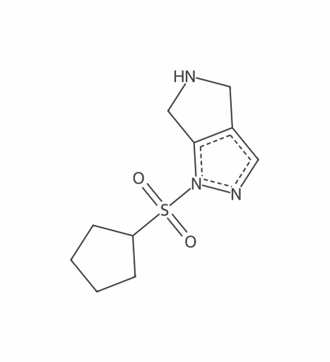 O=S(=O)(C1CCCC1)n1ncc2c1CNC2